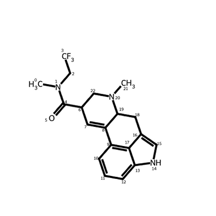 CN(CC(F)(F)F)C(=O)C1C=C2c3cccc4[nH]cc(c34)CC2N(C)C1